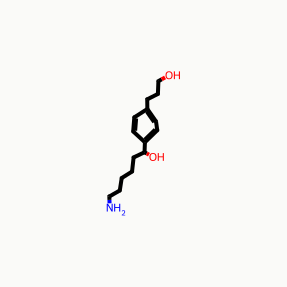 NCCCCCC(O)c1ccc(CCCO)cc1